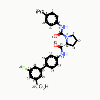 CC(C)c1ccc(NC(=O)N2CCC[C@@H]2C(=O)Nc2ccc(-c3cc(F)cc(C(=O)O)c3)cc2)cc1